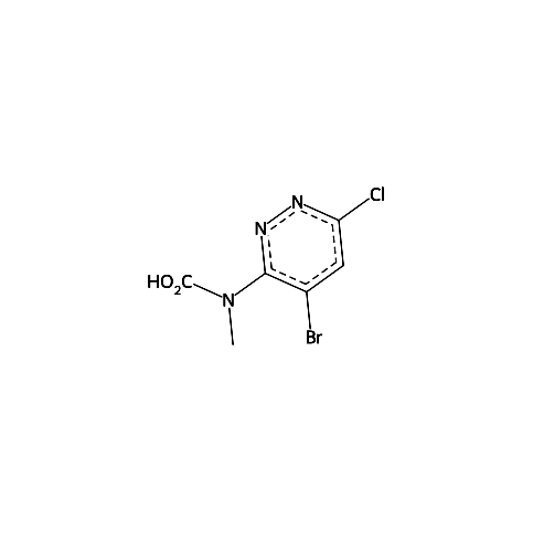 CN(C(=O)O)c1nnc(Cl)cc1Br